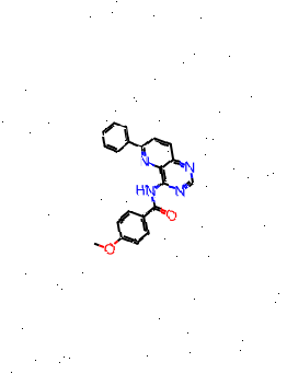 COc1ccc(C(=O)Nc2ncnc3ccc(-c4ccccc4)nc23)cc1